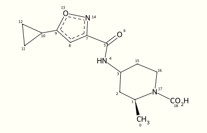 C[C@H]1CC(NC(=O)c2cc(C3CC3)on2)CCN1C(=O)O